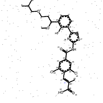 COC(CCOCC(C)C)c1cccc(-c2csc(NC(=O)c3cc(Cl)c(/C=C(\C)C(=O)O)c(Cl)c3)n2)c1F